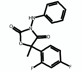 CC1(c2ccc(F)cc2F)OC(=O)N(Nc2ccccc2)C1=O